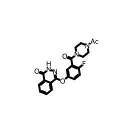 CC(=O)N1CCN(C(=O)c2cc(Oc3n[nH]c(=O)c4ccccc34)ccc2F)CC1